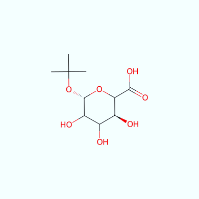 CC(C)(C)O[C@@H]1OC(C(=O)O)[C@@H](O)C(O)C1O